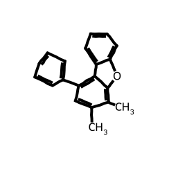 Cc1cc(-c2ccccc2)c2c(oc3ccccc32)c1C